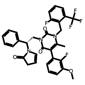 COc1cccc(-c2c(C)n(Cc3c(F)cccc3C(F)(F)F)c(=O)n(C[C@@H](c3ccccc3)N3C=CCC3=O)c2=O)c1F